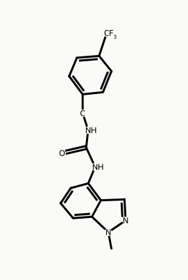 Cn1ncc2c(NC(=O)NCc3ccc(C(F)(F)F)cc3)cccc21